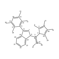 CC1=C(C)[CH]([Zr]([CH]2C=C(c3c(C)c(C)cc(C)c3C)c3ccccc32)=[Si](C)C)C(C)=C1C